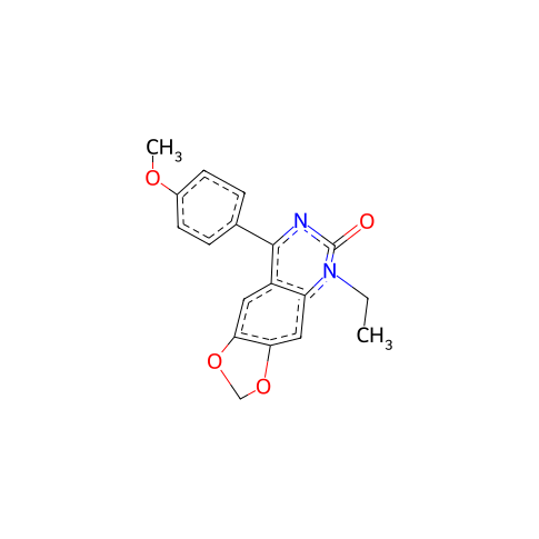 CCn1c(=O)nc(-c2ccc(OC)cc2)c2cc3c(cc21)OCO3